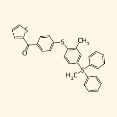 Cc1cc(S(C)(c2ccccc2)c2ccccc2)ccc1Sc1ccc(C(=O)c2cccs2)cc1